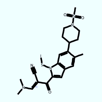 Cc1cc2cc(C(=O)/C(C#N)=C/N(C)C)n(SI)c2cc1C1CCN(S(C)(=O)=O)CC1